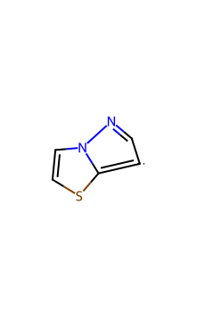 [c]1cnn2ccsc12